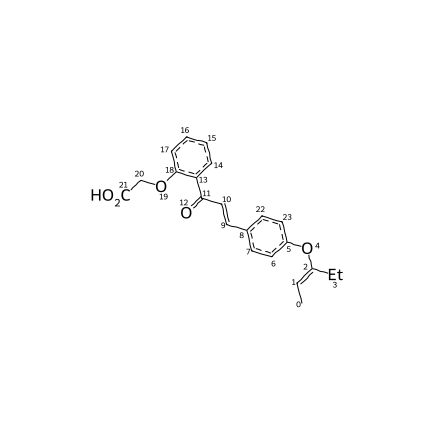 CC=C(CC)Oc1ccc(C=CC(=O)c2ccccc2OCC(=O)O)cc1